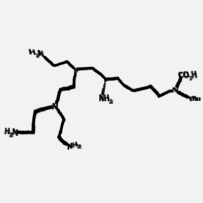 CC(C)(C)N(CCCC[C@H](N)CN(CCN)CCN(CCN)CCN)C(=O)O